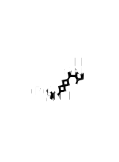 Cc1cc[nH]c1C(=O)C1CC2(CC(NC(=O)OC(C)(C)C)C2)C1